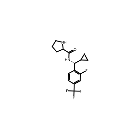 O=C(N[C@@H](c1ccc(C(F)(F)F)cc1F)C1CC1)C1CCCN1